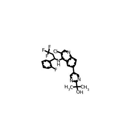 CC(C)(O)c1ncc(-c2ccc3ncc(Cl)c(NC(CC(F)(F)F)c4ccccc4F)c3c2)cn1